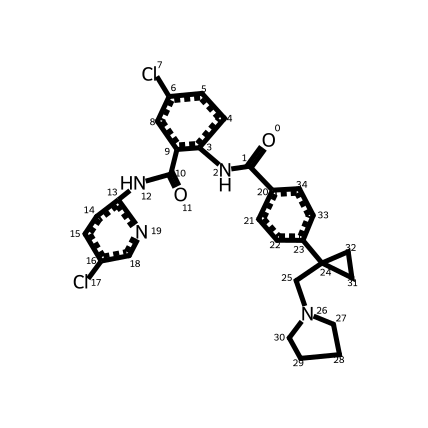 O=C(Nc1ccc(Cl)cc1C(=O)Nc1ccc(Cl)cn1)c1ccc(C2(CN3CCCC3)CC2)cc1